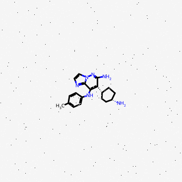 Cc1ccc(Nc2c3nccn3nc(N)c2[C@H]2CC[C@@H](N)CC2)cc1